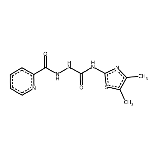 Cc1nc(NC(=O)NNC(=O)c2ccccn2)sc1C